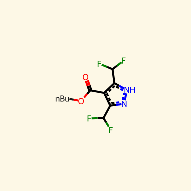 CCCCOC(=O)c1c(C(F)F)n[nH]c1C(F)F